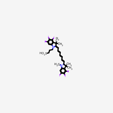 C[N+]1=C(/C=C/C=C/C=C/C=C2\N(CCCS(=O)(=O)O)c3cc(I)c(I)c(I)c3C2(C)C)C(C)(C)c2c1cc(I)c(I)c2I